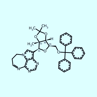 CC1(C)O[C@@H]2[C@@H](COC(c3ccccc3)(c3ccccc3)c3ccccc3)O[C@@H](c3cn4c5c(ncnc35)N=CCC4)[C@]2(C)O1